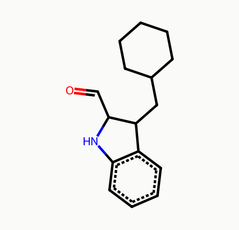 O=CC1Nc2ccccc2C1CC1CCCCC1